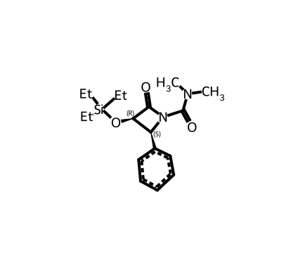 CC[Si](CC)(CC)O[C@H]1C(=O)N(C(=O)N(C)C)[C@H]1c1ccccc1